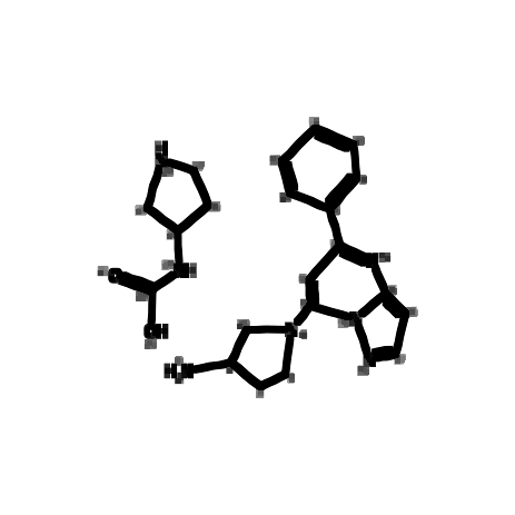 NC1CCN(c2cc(-c3ccccc3)nc3ccnn23)C1.O=C(O)NC1CCNC1